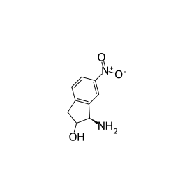 N[C@@H]1c2cc([N+](=O)[O-])ccc2CC1O